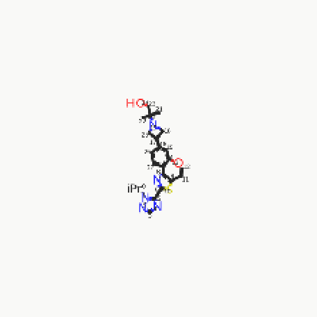 CC(C)n1ncnc1-c1nc2c(s1)CCOc1cc(C3CN(C(C)(C)CO)C3)ccc1-2